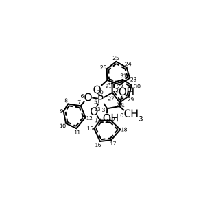 CC(O)C(O)P(Oc1ccccc1)(Oc1ccccc1)(Oc1ccccc1)c1ccccc1